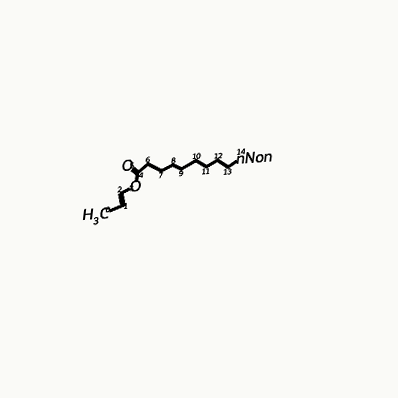 CC=COC(=O)CCCCCCCCCCCCCCCCC